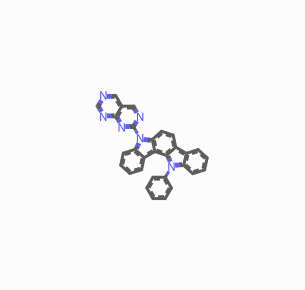 c1ccc(-n2c3ccccc3c3ccc4c(c5ccccc5n4-c4ncc5cncnc5n4)c32)cc1